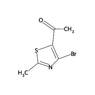 CC(=O)c1sc(C)nc1Br